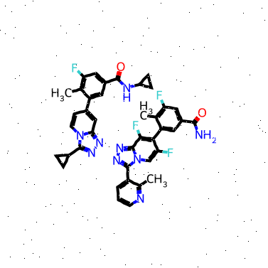 Cc1c(F)cc(C(=O)NC2CC2)cc1-c1ccn2c(C3CC3)nnc2c1.Cc1ncccc1-c1nnc2c(F)c(-c3cc(C(N)=O)cc(F)c3C)c(F)cn12